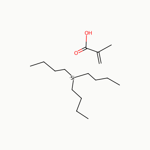 C=C(C)C(=O)O.CCCC[Si](CCCC)CCCC